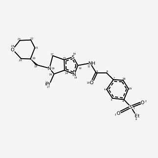 CCS(=O)(=O)c1ccc(CC(=O)Nc2nc3c(s2)CN(C[C@@H]2CCCOC2)C3C(C)C)cc1